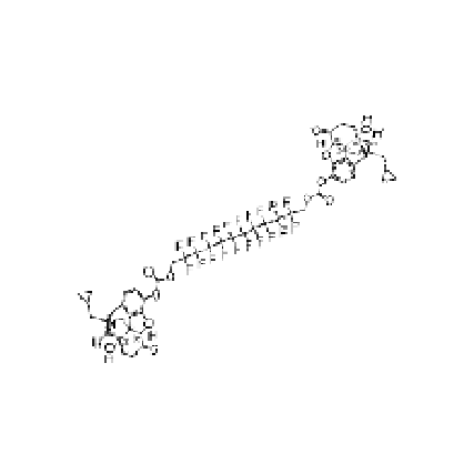 O=C(OCC(F)(F)C(F)(F)C(F)(F)C(F)(F)C(F)(F)C(F)(F)C(F)(F)C(F)(F)C(F)(F)C(F)(F)COC(=O)Oc1ccc2c3c1O[C@H]1C(=O)CC[C@@]4(O)[C@@H](C2)N(CC2CC2)CC[C@]314)Oc1ccc2c3c1O[C@H]1C(=O)CC[C@@]4(O)[C@@H](C2)N(CC2CC2)CC[C@]314